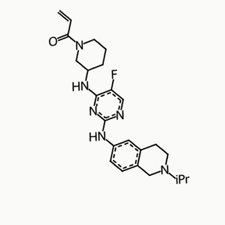 C=CC(=O)N1CCCC(Nc2nc(Nc3ccc4c(c3)CCN(C(C)C)C4)ncc2F)C1